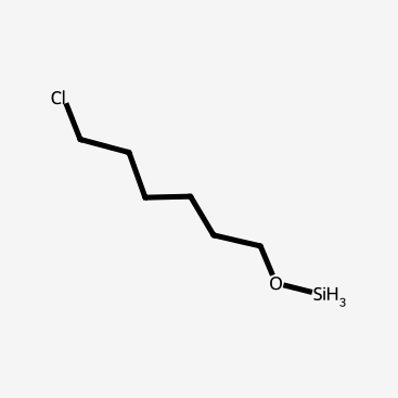 [SiH3]OCCCCCCCl